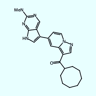 CNc1ncc2c(-c3ccn4ncc(C(=O)C5CCCCCCC5)c4c3)c[nH]c2n1